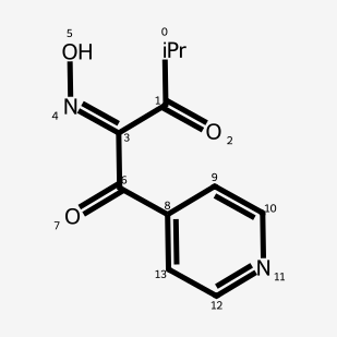 CC(C)C(=O)/C(=N\O)C(=O)c1ccncc1